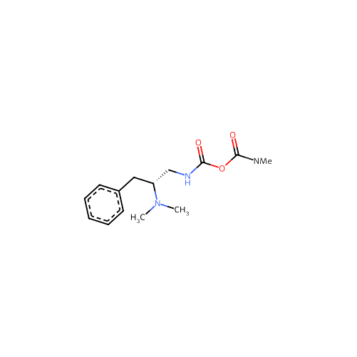 CNC(=O)OC(=O)NC[C@@H](Cc1ccccc1)N(C)C